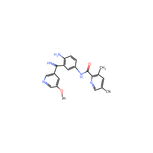 Cc1cc(C#N)cnc1C(=O)Nc1ccc(N)c(C(=N)c2cncc(OC(C)C)c2)c1